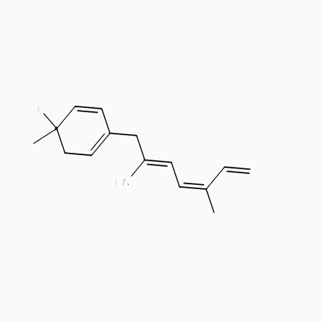 C=C/C(C)=C\C=C(/N)CC1=CCC(C)(F)C=C1